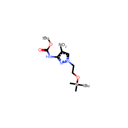 CC(C)(C)OC(=O)Nc1nn(CCO[Si](C)(C)C(C)(C)C)cc1[N+](=O)[O-]